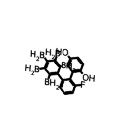 Bc1c(B)c(B)c(-c2cccc(F)c2-c2cc(O)ccc2O)c(B)c1B